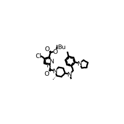 Cc1ccc(CN(C)C2CCN(C(=O)n3cc(Cl)c(C(=O)OC(C)(C)C)n3)[C@@H](C)C2)c(N2CCCC2)c1